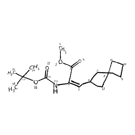 COC(=O)/C(=C\C1CC2(CCC2)C1)NC(=O)OC(C)(C)C